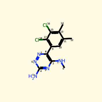 CNc1nc(N)nnc1-c1cc(C)c(C)c(Cl)c1Cl